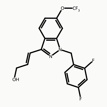 OC/C=C/c1nn(Cc2ccc(F)cc2F)c2cc(OC(F)(F)F)ccc12